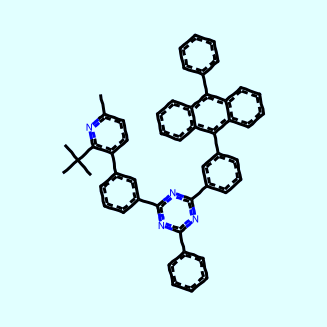 Cc1ccc(-c2cccc(-c3nc(-c4ccccc4)nc(-c4cccc(-c5c6ccccc6c(-c6ccccc6)c6ccccc56)c4)n3)c2)c(C(C)(C)C)n1